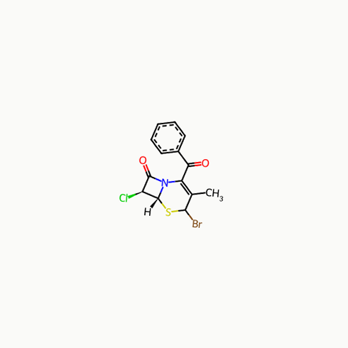 CC1=C(C(=O)c2ccccc2)N2C(=O)[C@H](Cl)[C@H]2SC1Br